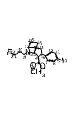 COC(=O)C1C(c2ccc(I)cc2)CC23CCC2N(CCCF)C13